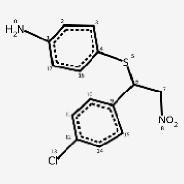 Nc1ccc(SC(C[N+](=O)[O-])c2ccc(Cl)cc2)cc1